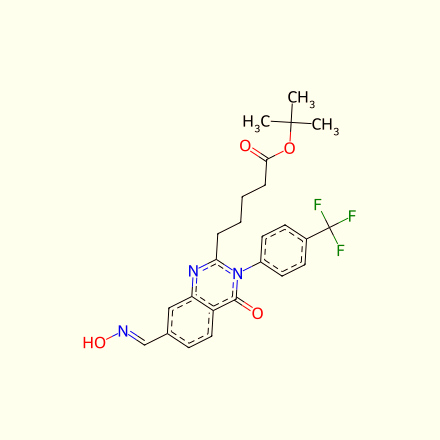 CC(C)(C)OC(=O)CCCCc1nc2cc(C=NO)ccc2c(=O)n1-c1ccc(C(F)(F)F)cc1